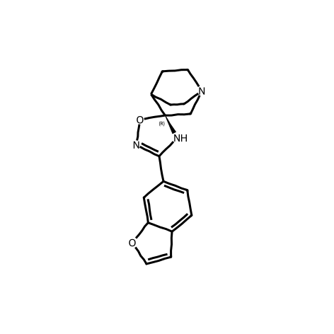 c1cc2ccc(C3=NO[C@]4(CN5CCC4CC5)N3)cc2o1